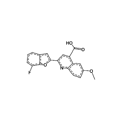 COc1ccc2nc(-c3cc4cccc(F)c4o3)cc(C(=O)O)c2c1